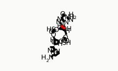 Nc1nc2c(nnn2[C@@H]2S[C@@H]3COP(=O)(S)O[C@H]4C[C@H](c5cnn6c(N)ccnc56)O[C@@H]4COP(=O)(S)O[C@@H]2[C@@H]3O)c(=O)[nH]1